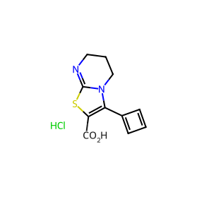 Cl.O=C(O)C1=C(C2=CC=C2)N2CCCN=C2S1